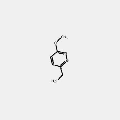 C[CH]c1ccc(OC)nn1